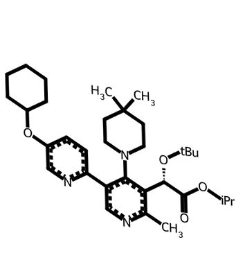 Cc1ncc(-c2ccc(OC3CCCCC3)cn2)c(N2CCC(C)(C)CC2)c1[C@H](OC(C)(C)C)C(=O)OC(C)C